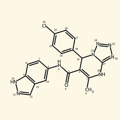 CC1=C(C(=O)Nc2ccc3[nH]ncc3c2)C(c2ccc(Cl)cc2)n2nnnc2N1